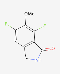 COc1c(F)cc2c(c1F)C(=O)NC2